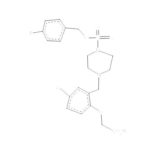 O=C(O)COc1ccc(Cl)cc1CN1CCN(S(=O)(=O)OCc2ccc(F)cc2)CC1